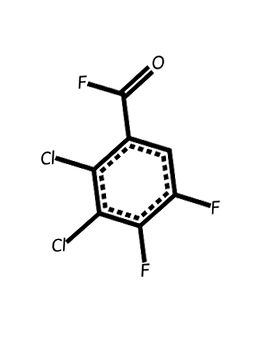 O=C(F)c1cc(F)c(F)c(Cl)c1Cl